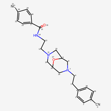 N#Cc1ccc(CCN2CC3CN(CCNC(=O)c4ccc(C#N)cc4)CC(C2)O3)cc1